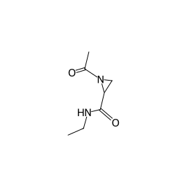 CCNC(=O)C1CN1C(C)=O